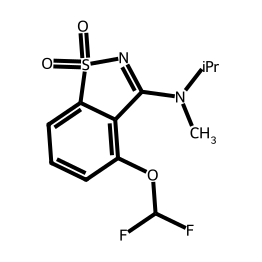 CC(C)N(C)C1=NS(=O)(=O)c2cccc(OC(F)F)c21